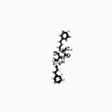 CC(C)(C)OC(=O)NC(C(=O)NCCCc1ccccc1)C(=O)NCCCc1ccccc1